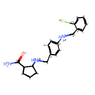 NC(=O)C1CCCC1NCc1ccc(NCc2ccccc2F)cc1